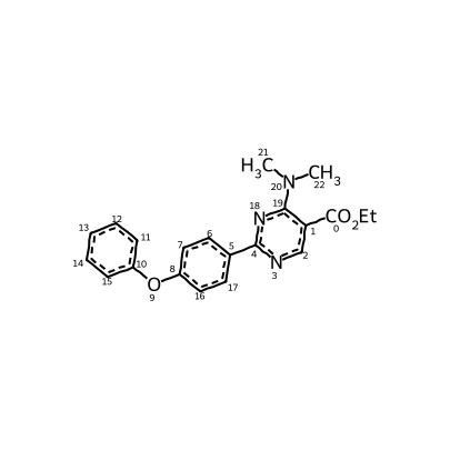 CCOC(=O)c1cnc(-c2ccc(Oc3ccccc3)cc2)nc1N(C)C